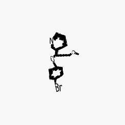 COCC(Oc1ccc(Br)cc1)c1cccnc1